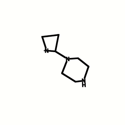 C1CC(N2CCNCC2)[N]1